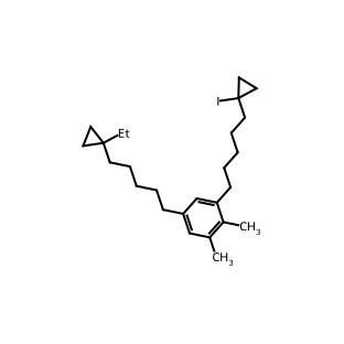 CCC1(CCCCCc2cc(C)c(C)c(CCCCCC3(I)CC3)c2)CC1